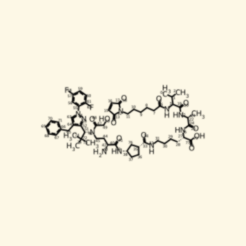 CC(C)C(NC(=O)CCCCCN1C(=O)C=CC1=O)C(=O)N[C@@H](C)C(=O)N[C@@H](CCCCNC(=O)[C@@H]1CC[C@H](NC(=O)[C@@H](N)CCN(C(=O)CO)[C@@H](c2nn(-c3cc(F)ccc3F)cc2Cc2ccccc2)C(C)(C)C)C1)C(=O)O